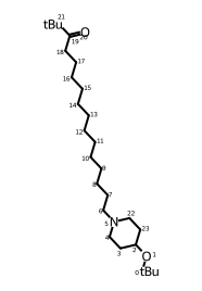 CC(C)(C)OC1CCN(CCCCCCCCCCCCCC(=O)C(C)(C)C)CC1